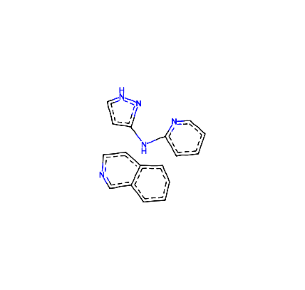 c1ccc(Nc2cc[nH]n2)nc1.c1ccc2cnccc2c1